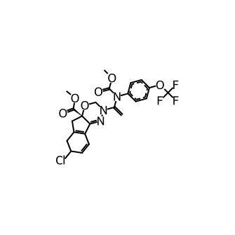 C=C(N1CO[C@@]2(C(=O)OC)CC3=C(C=CC(Cl)C3)C2=N1)N(C(=O)OC)c1ccc(OC(F)(F)F)cc1